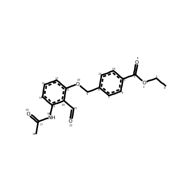 CCOC(=O)c1ccc(COc2cccc(NC(C)=O)c2C=O)cc1